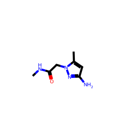 CNC(=O)Cn1nc(N)cc1C